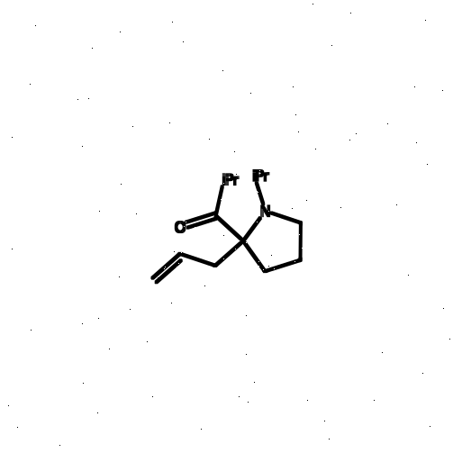 C=CCC1(C(=O)C(C)C)CCCN1C(C)C